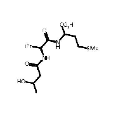 CSCCC(NC(=O)C(NC(=O)CC(C)O)C(C)C)C(=O)O